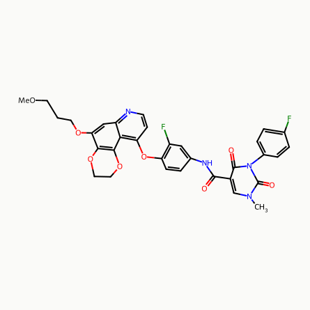 COCCCOc1cc2nccc(Oc3ccc(NC(=O)c4cn(C)c(=O)n(-c5ccc(F)cc5)c4=O)cc3F)c2c2c1OCCO2